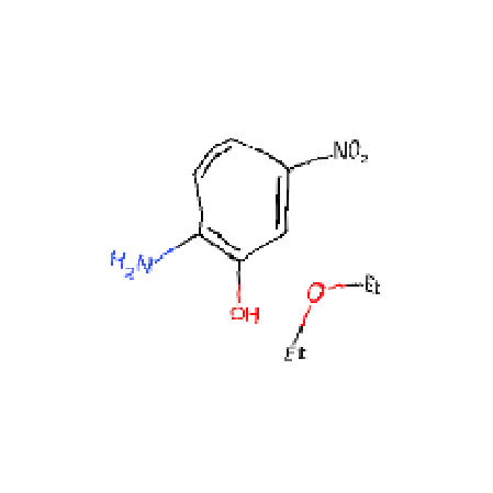 CCOCC.Nc1ccc([N+](=O)[O-])cc1O